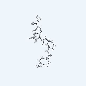 COC(=O)c1ccc2c(-c3cc4c(CNC5CCC(N)CC5)cccc4[nH]3)n[nH]c2c1